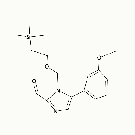 COc1cccc(-c2cnc(C=O)n2COCC[Si](C)(C)C)c1